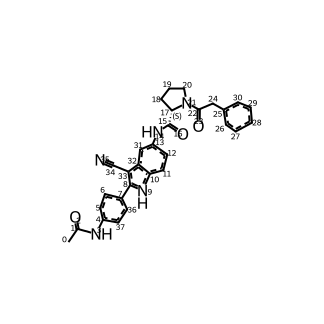 CC(=O)Nc1ccc(-c2[nH]c3ccc(NC(=O)[C@@H]4CCCN4C(=O)Cc4ccccc4)cc3c2C#N)cc1